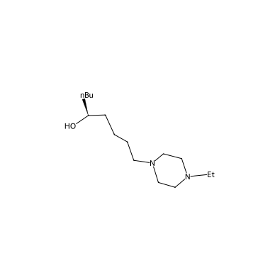 CCCC[C@H](O)CCCCN1CCN(CC)CC1